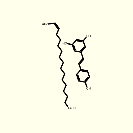 CCCCCCCC/C=C\CCCCCCCCCCCCCC(=O)O.Oc1ccc(C=Cc2cc(O)cc(O)c2)cc1